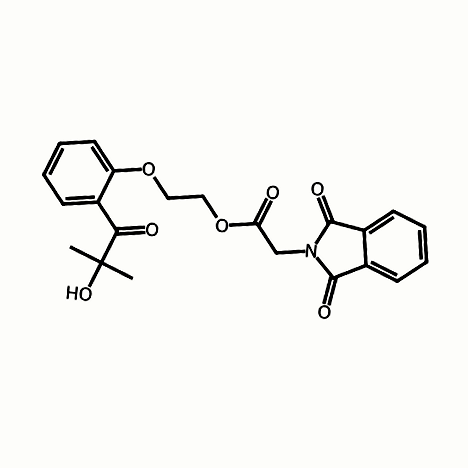 CC(C)(O)C(=O)c1ccccc1OCCOC(=O)CN1C(=O)c2ccccc2C1=O